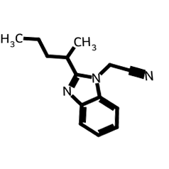 CCCC(C)c1nc2ccccc2n1CC#N